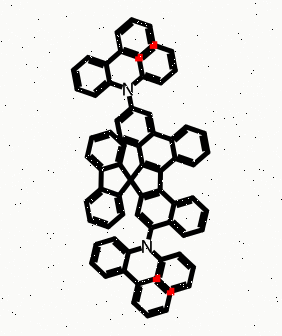 c1ccc(-c2ccccc2N(c2ccccc2)c2ccc3c4c(c5ccccc5c3c2)-c2c(cc(N(c3ccccc3)c3ccccc3-c3ccccc3)c3ccccc23)C42c3ccccc3-c3ccccc32)cc1